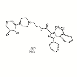 Cc1c(C(=O)NCCCN2CCN(c3cccc(Cl)c3Cl)CC2)nc(-c2ccccc2)n1-c1ccccc1Cl.Cl.Cl